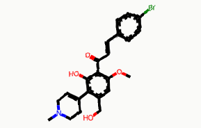 COc1cc(CO)c(C2=CCN(C)CC2)c(O)c1C(=O)/C=C/c1ccc(Br)cc1